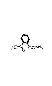 O=S(O)c1ccccc1Cl.[CaH2]